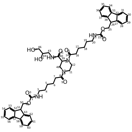 O=C(NCCCCCC(=O)N1CCN(C(=O)CCCCCNC(=O)OCC2c3ccccc3-c3ccccc32)C(C(=O)NCC(O)CO)C1)OCC1c2ccccc2-c2ccccc21